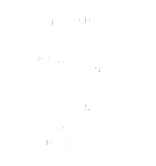 COc1cc(C)c(C)cc1-c1cnc(-c2cc[n+](CCCS(=O)(=O)O)c3ccccc23)o1